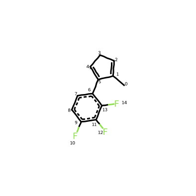 CC1=CC[C]=C1c1ccc(F)c(F)c1F